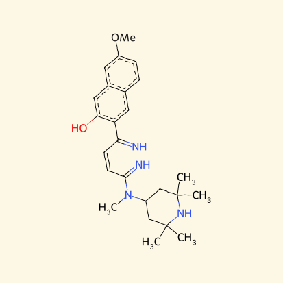 COc1ccc2cc(C(=N)/C=C\C(=N)N(C)C3CC(C)(C)NC(C)(C)C3)c(O)cc2c1